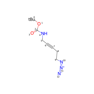 CC(C)(C)OC(=O)NCC#CCCN=[N+]=[N-]